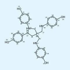 Oc1ccc(NC[PH](CNc2ccc(O)cc2)(CNc2ccc(O)cc2)CNc2ccc(O)cc2)cc1